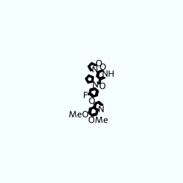 COc1cc2nccc(Oc3ccc(N(C(=O)c4c[nH]c(=O)c(N5CCCC5=O)c4)C4CCCC4)cc3F)c2cc1OC